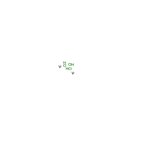 Cl.Cl.Cl.[V].[V]